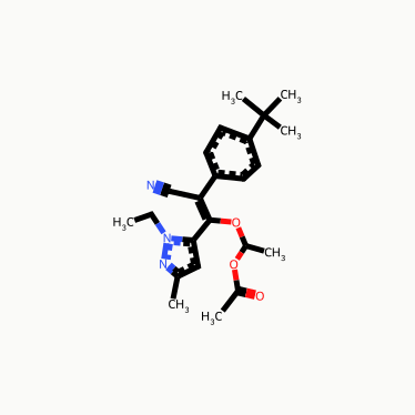 CCn1nc(C)cc1/C(OC(C)OC(C)=O)=C(\C#N)c1ccc(C(C)(C)C)cc1